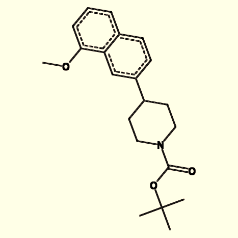 COc1cccc2ccc(C3CCN(C(=O)OC(C)(C)C)CC3)cc12